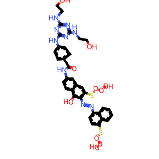 O=C(Nc1ccc2c(O)c(/N=N/c3ccc(SOOO)c4ccccc34)c(SOOO)cc2c1)c1ccc(Nc2nc(NCCO)nc(NCCO)n2)cc1